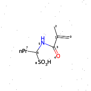 C=C(C)C(=O)NC(CCC)S(=O)(=O)O